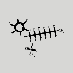 Fc1c(F)c(F)c([I+]C(F)(F)C(F)(F)C(F)(F)C(F)(F)C(F)(F)C(F)(F)C(F)(F)F)c(F)c1F.O=S(=O)([O-])C(F)(F)F